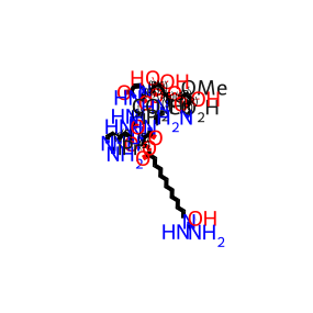 CO[C@H]1[C@H](O[C@H]([C@H]2O[C@@H](n3ccc(=O)[nH]c3=O)[C@H](O)[C@@H]2O)[C@H](NCCCNC(=O)[C@@H](NC(=O)[C@@H](NC(=O)N[C@H](C(=O)O)C(C)C)[C@@H]2CCN=C(N)N2)[C@@H](OC(=O)CCCCCCCCCCCCN(O)C(=N)N)C(C)C)C(=O)O)O[C@H](CN)[C@H]1O